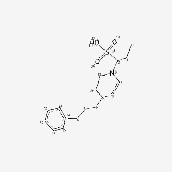 CCC(N1C=CC(CCCc2ccccc2)CC1)S(=O)(=O)O